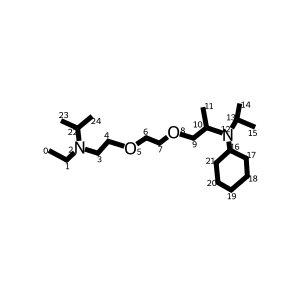 CCN(CCOCCOCC(C)N(C(C)C)C1CCCCC1)C(C)C